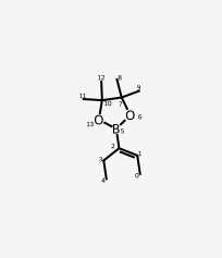 CC=C(CC)B1OC(C)(C)C(C)(C)O1